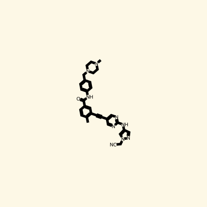 Cc1ccc(C(=O)Nc2ccc(CN3CCN(C)CC3)cc2)cc1C#Cc1cnc(Nc2cnn(CC#N)c2)nc1